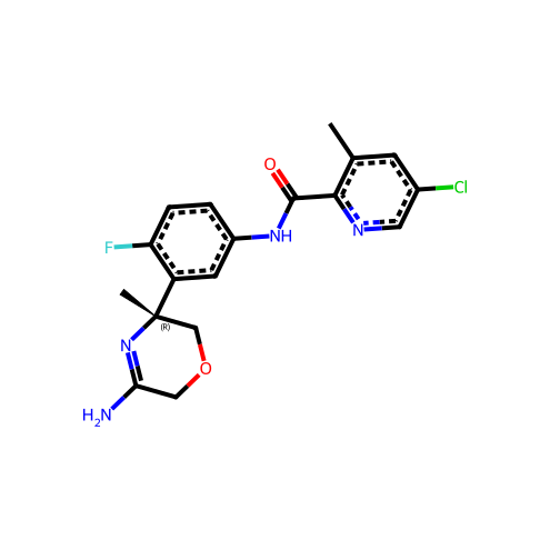 Cc1cc(Cl)cnc1C(=O)Nc1ccc(F)c([C@]2(C)COCC(N)=N2)c1